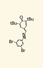 CC(C)(C)C1=CC(=CN=Nc2cc(Br)cc(Br)c2)C=C(C(C)(C)C)C1=O